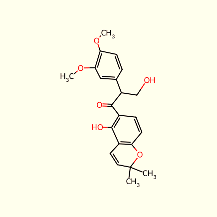 COc1ccc(C(CO)C(=O)c2ccc3c(c2O)C=CC(C)(C)O3)cc1OC